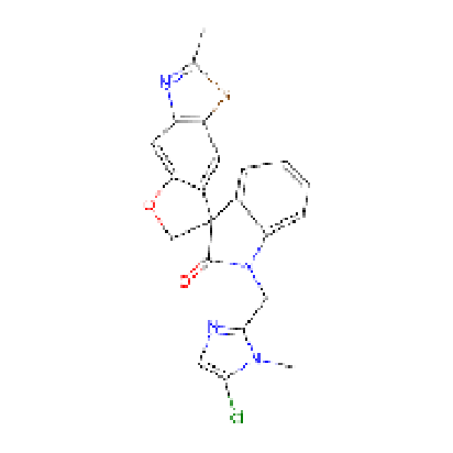 Cc1nc2cc3c(cc2s1)C1(CO3)C(=O)N(Cc2ncc(Cl)n2C)c2ccccc21